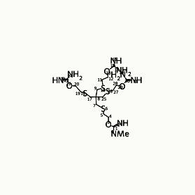 CNC(=N)OCCSCC(CSCCOC(=N)N)(CSCCOC(=N)N)CSCCOC(=N)N